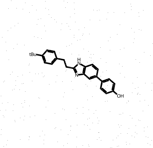 CC(C)(C)c1ccc(CCc2nc3cc(-c4ccc(O)cc4)ccc3[nH]2)cc1